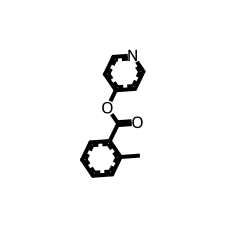 Cc1ccccc1C(=O)Oc1ccncc1